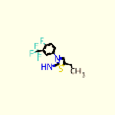 CCc1cn(-c2ccc(F)c(C(F)(F)F)c2)c(=N)s1